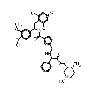 COc1ccc(C(Cc2c(Cl)c[n+]([O-])cc2Cl)OC(=O)c2ccc(CNC(C(=O)OC[C@@H]3CN(C)CCN3C)c3ccccc3)s2)cc1OC